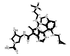 Cc1c(C(=O)NC2CN(C(=O)O)CC2O)c2ncnc(-c3c(OCC4CC4)ccc4c3OCO4)c2n1COCC[Si](C)(C)C